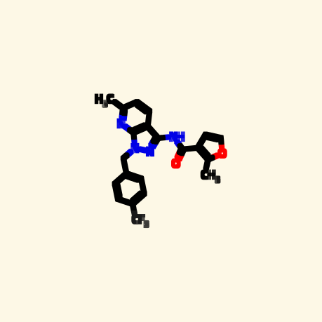 Cc1ccc2c(NC(=O)c3ccoc3C)nn(Cc3ccc(C(F)(F)F)cc3)c2n1